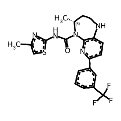 Cc1csc(NC(=O)N2c3nc(-c4cccc(C(F)(F)F)c4)ccc3NCC[C@H]2C)n1